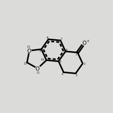 O=C1CCCc2c1ccc1c2OCO1